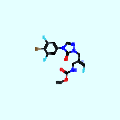 CC(C)(C)OC(=O)NC/C(=C\F)Cn1ncn(-c2cc(F)c(Br)c(F)c2)c1=O